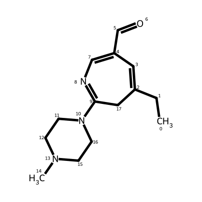 CCC1=CC(C=O)=CN=C(N2CCN(C)CC2)C1